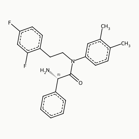 Cc1ccc(N(CCc2ccc(F)cc2F)C(=O)[C@@H](N)c2ccccc2)cc1C